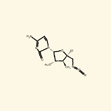 CC[C@@]1(CN=[N+]=[N-])O[C@@H](n2ccc(N)nc2=O)[C@@H](OC(C)=O)[C@@H]1C